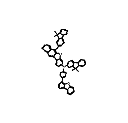 CC1(C)c2ccccc2-c2ccc(-c3c4ccccc4cc4c3oc3cc(N(c5ccc(-c6cccc7c6oc6ccccc67)cc5)c5ccc6c(c5)C(C)(C)c5ccccc5-6)ccc34)cc21